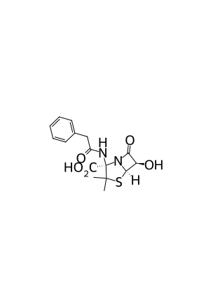 CC1(C)S[C@@H]2[C@H](O)C(=O)N2[C@@]1(NC(=O)Cc1ccccc1)C(=O)O